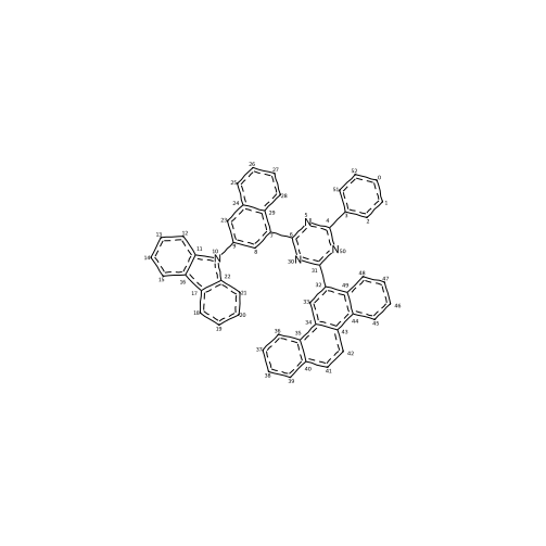 c1ccc(-c2nc(-c3cc(-n4c5ccccc5c5ccccc54)cc4ccccc34)nc(-c3cc4c5ccccc5ccc4c4ccccc34)n2)cc1